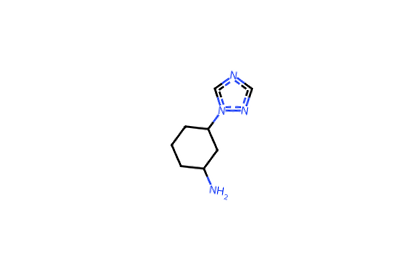 NC1CCCC(n2cncn2)C1